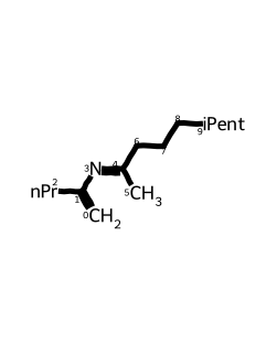 C=C(CCC)/N=C(\C)CCCC(C)CCC